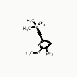 COc1nc(C#C[Si](C)(C)C)ccc1N